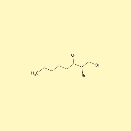 CCCCCC([O])C(Br)CBr